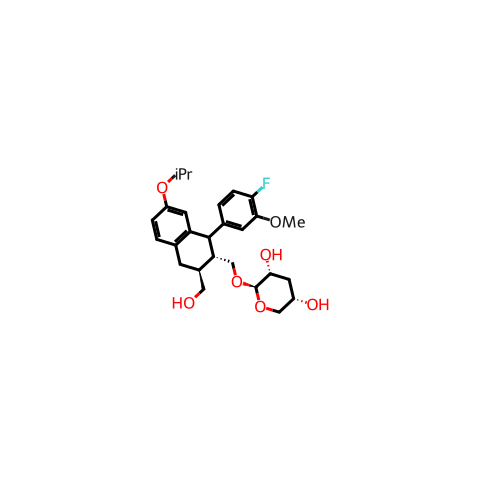 COc1cc(C2c3cc(OC(C)C)ccc3C[C@H](CO)[C@H]2CO[C@@H]2OC[C@@H](O)C[C@H]2O)ccc1F